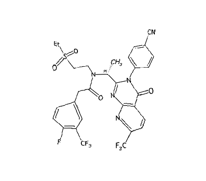 CCS(=O)(=O)CCN(C(=O)Cc1ccc(F)c(C(F)(F)F)c1)[C@H](C)c1nc2nc(C(F)(F)F)ccc2c(=O)n1-c1ccc(C#N)cc1